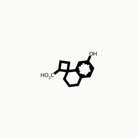 O=C(O)C1CCC12CCCc1ccc(O)cc12